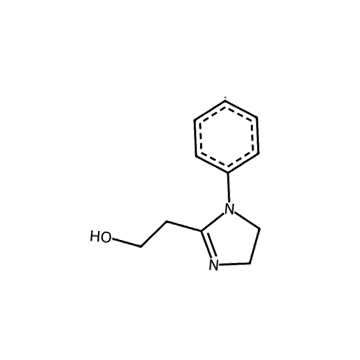 OCCC1=NCCN1c1cc[c]cc1